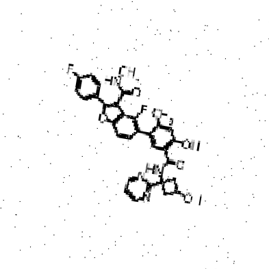 CNC(=O)c1c(-c2ccc(F)cc2)oc2ccc(-c3cc(C(=O)NC4(c5ncccn5)CC(O)C4)c(O)cc3C)c(F)c12